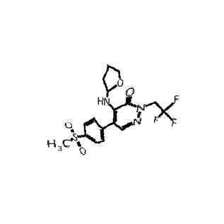 CS(=O)(=O)c1ccc(-c2cnn(CC(F)(F)F)c(=O)c2NC2CCCO2)cc1